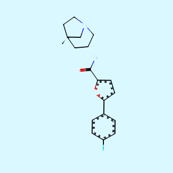 O=C(N[C@@H]1C[C@@H]2CCN(C2)C1)c1ccc(-c2ccc(F)cc2)o1